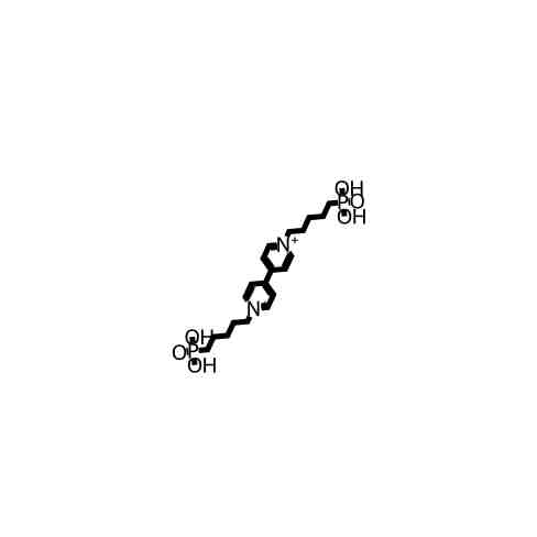 O=P(O)(O)CCCCC[n+]1ccc(-c2cc[n+](CCCCCP(=O)(O)O)cc2)cc1